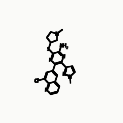 CN1CCC(Sc2nc(-c3cc(Cl)c4ncccc4c3)c(-c3ccn(C)n3)nc2N)C1